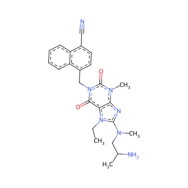 CCn1c(N(C)CC(C)N)nc2c1c(=O)n(Cc1ccc(C#N)c3ccccc13)c(=O)n2C